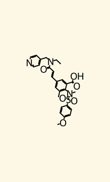 CCN(Cc1ccncc1)C(=O)C=Cc1cc(C)c(N(C)S(=O)(=O)c2ccc(OC)cc2)c(C(=O)O)c1